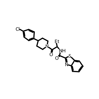 CCC(NC(=O)c1nc2ccccc2s1)C(=O)N1CCC(c2ccc(Cl)cc2)CC1